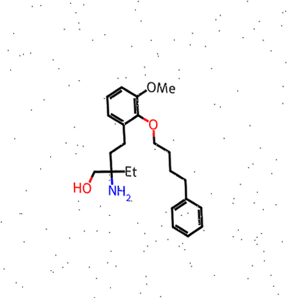 CCC(N)(CO)CCc1cccc(OC)c1OCCCCc1ccccc1